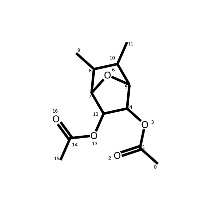 CC(=O)OC1C2OC(C(C)C2C)C1OC(C)=O